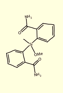 CO[Si](C)(c1ccccc1C(N)=O)c1ccccc1C(N)=O